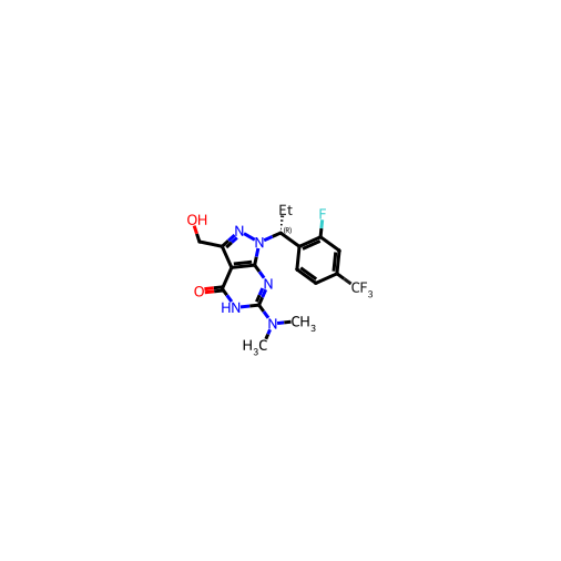 CC[C@H](c1ccc(C(F)(F)F)cc1F)n1nc(CO)c2c(=O)[nH]c(N(C)C)nc21